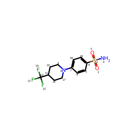 NS(=O)(=O)c1ccc(N2CCC(C(F)(F)F)CC2)cc1